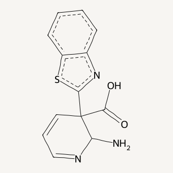 NC1N=CC=CC1(C(=O)O)c1nc2ccccc2s1